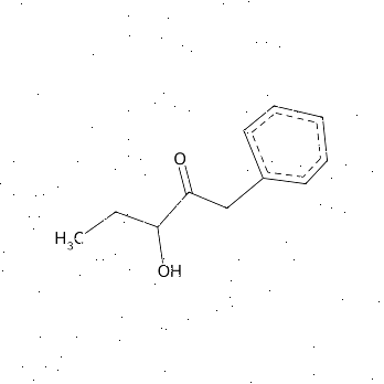 CCC(O)C(=O)Cc1ccccc1